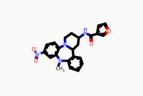 CN1c2ccccc2C2CC(NC(=O)c3ccoc3)CCN2c2ccc([N+](=O)[O-])cc21